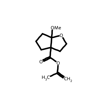 C=C(C)OC(=O)C12CCCC1(OC)OCC2